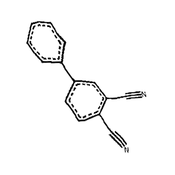 N#Cc1ccc(-c2ccccc2)cc1C#N